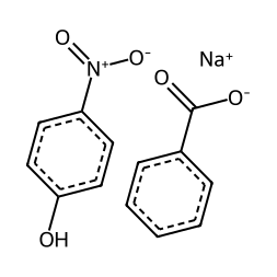 O=C([O-])c1ccccc1.O=[N+]([O-])c1ccc(O)cc1.[Na+]